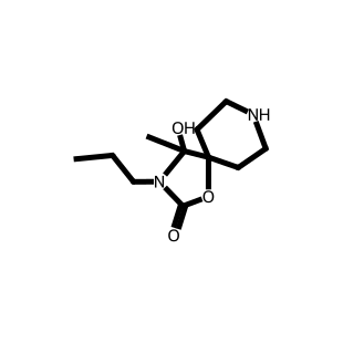 CCCN1C(=O)OC2(CCNCC2)C1(C)O